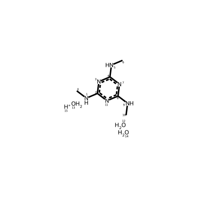 CNc1nc(NC)nc(NC)n1.O.O.O.[H+]